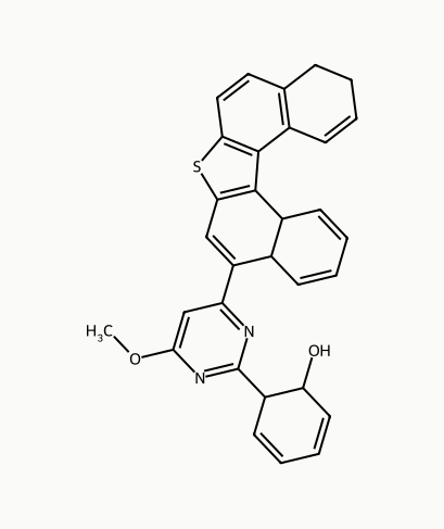 COc1cc(C2=Cc3sc4ccc5c(c4c3C3C=CC=CC23)C=CCC5)nc(C2C=CC=CC2O)n1